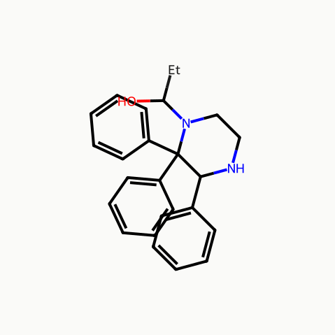 CCC(O)N1CCNC(c2ccccc2)C1(c1ccccc1)c1ccccc1